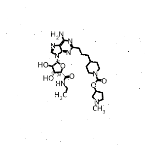 CCNC(=O)[C@H]1O[C@@H](n2cnc3c(N)nc(CCCC4CCN(C(=O)OC5CCN(C)C5)CC4)nc32)C(O)[C@H]1O